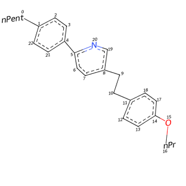 CCCCCc1ccc(-c2ccc(CCc3ccc(OCCC)cc3)cn2)cc1